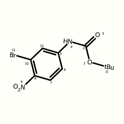 CC(C)(C)OC(=O)Nc1ccc([N+](=O)[O-])c(Br)c1